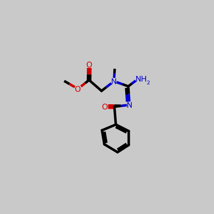 COC(=O)CN(C)C(N)=NC(=O)c1ccccc1